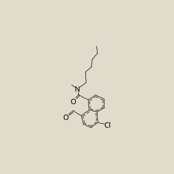 CCCCCCN(C)C(=O)c1cccc2c(Cl)ccc(C=O)c12